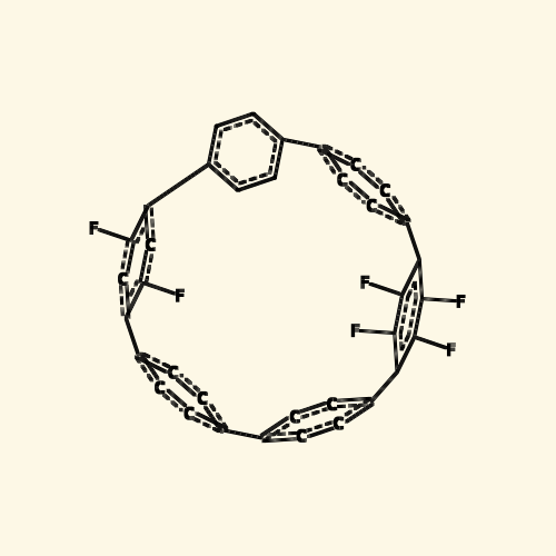 Fc1cc2c(F)cc1-c1ccc(cc1)-c1ccc(cc1)-c1c(F)c(F)c(c(F)c1F)-c1ccc(cc1)-c1ccc-2cc1